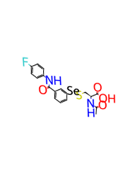 CC(=O)N[C@@H](CS[Se]c1cccc(C(=O)Nc2ccc(F)cc2)c1)C(=O)O